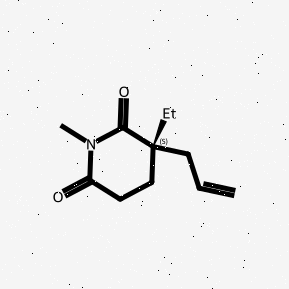 C=CC[C@]1(CC)CCC(=O)N(C)C1=O